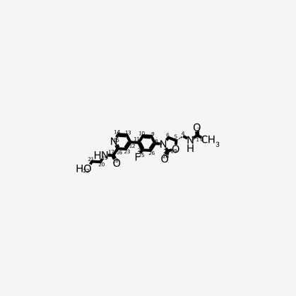 CC(=O)NC[C@H]1CN(c2ccc(-c3ccnc(C(=O)NCCO)c3)c(F)c2)C(=O)O1